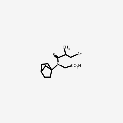 CC(=O)CC(C)C(=S)N(CC(=O)O)C12CCC(CC1)C2